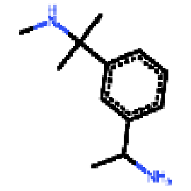 CNC(C)(C)c1cccc(C(C)N)c1